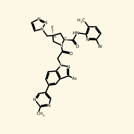 CC(=O)c1nn(CC(=O)N2C[C@@](F)(Cn3ccnn3)C[C@H]2C(=O)Nc2nc(Br)ccc2C)c2ccc(-c3cnc(C)nc3)cc12